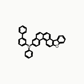 c1ccc(-c2cccc(N(c3ccccc3)c3ccc4c(ccc5ccc6c(ccc7oc8ccccc8c76)c54)c3)c2)cc1